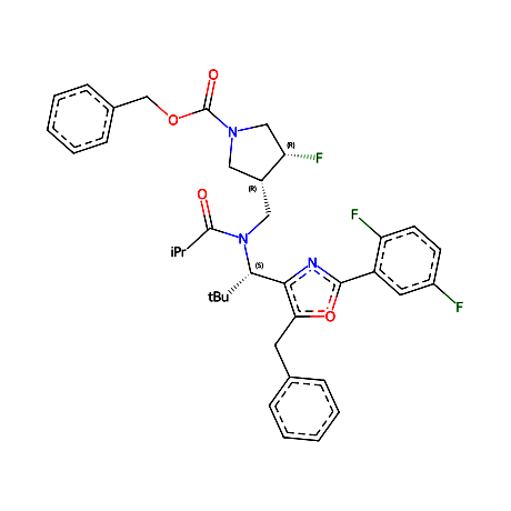 CC(C)C(=O)N(C[C@@H]1CN(C(=O)OCc2ccccc2)C[C@@H]1F)[C@H](c1nc(-c2cc(F)ccc2F)oc1Cc1ccccc1)C(C)(C)C